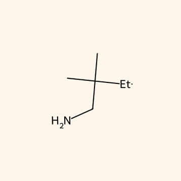 C[CH]C(C)(C)CN